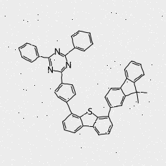 CC1(C)c2ccccc2-c2ccc(-c3cccc4c3sc3c(-c5ccc(-c6nc(-c7ccccc7)nc(-c7ccccc7)n6)cc5)cccc34)cc21